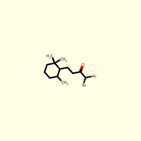 CC(=O)C(C(C)=O)C(=O)CCC1C(C)CCCC1(C)C